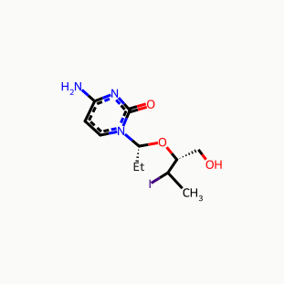 CC[C@@H](O[C@H](CO)C(C)I)n1ccc(N)nc1=O